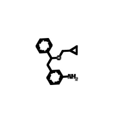 Nc1cccc(CC(OCC2CC2)c2ccccc2)c1